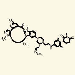 C/N=C\C[C@@H]1CN(c2ccc3c(c2)N2C[C@H](C)CCCOc4c(cnn4C)-c4cc(cc(C)n4)C(=O)/N=C/2N3)CCN1CCNc1cc(F)c([C@H]2CCC(=O)NC2=O)c(F)c1